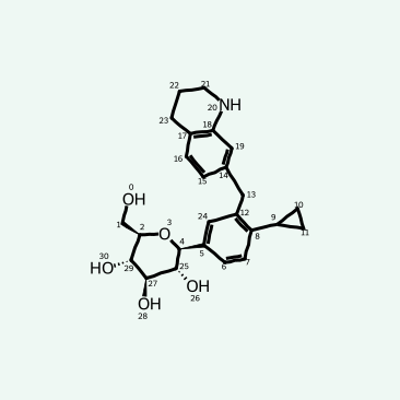 OC[C@H]1O[C@@H](c2ccc(C3CC3)c(Cc3ccc4c(c3)NCCC4)c2)[C@H](O)[C@@H](O)[C@@H]1O